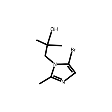 Cc1ncc(Br)n1CC(C)(C)O